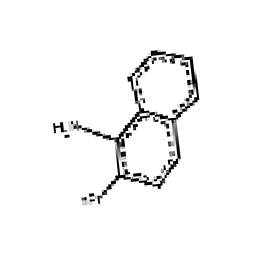 CCCc1ccc2ccccc2c1N